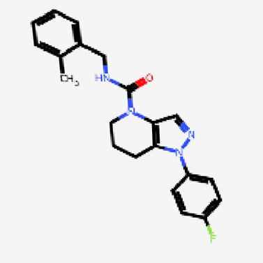 Cc1ccccc1CNC(=O)N1CCCc2c1cnn2-c1ccc(F)cc1